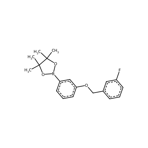 CC1(C)OB(c2cccc(OCc3cccc(F)c3)c2)OC1(C)C